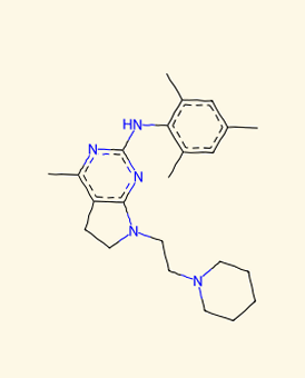 Cc1cc(C)c(Nc2nc(C)c3c(n2)N(CCN2CCCCC2)CC3)c(C)c1